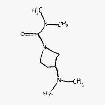 CN(C)C(=O)N1CC(N(C)C)C1